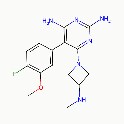 CNC1CN(c2nc(N)nc(N)c2-c2ccc(F)c(OC)c2)C1